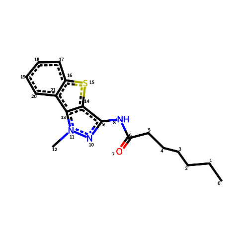 CCCCCCC(=O)Nc1nn(C)c2c1sc1ccccc12